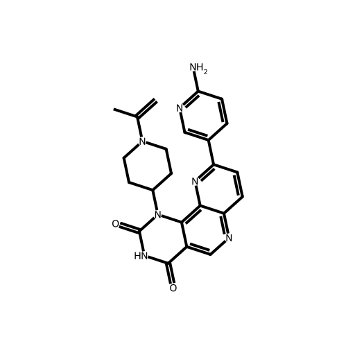 C=C(C)N1CCC(n2c(=O)[nH]c(=O)c3cnc4ccc(-c5ccc(N)nc5)nc4c32)CC1